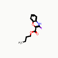 CCCCOC(=O)C1=C(I)Nc2ccccc2O1